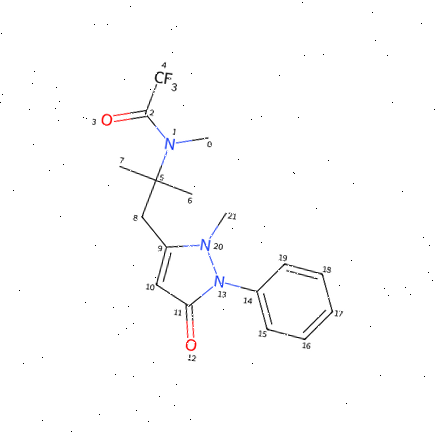 CN(C(=O)C(F)(F)F)C(C)(C)Cc1cc(=O)n(-c2ccccc2)n1C